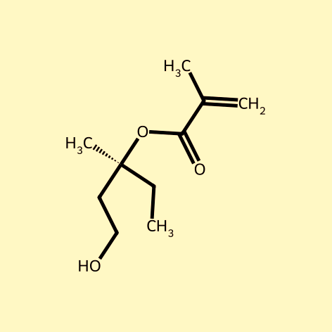 C=C(C)C(=O)O[C@@](C)(CC)CCO